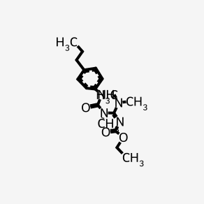 CCCc1ccc(NC(=O)N(C)/C(=N\C(=O)OCC)N(C)C)cc1